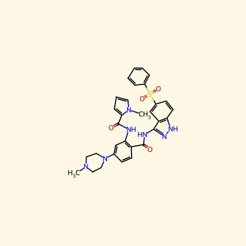 CN1CCN(c2ccc(C(=O)Nc3n[nH]c4ccc(S(=O)(=O)c5ccccc5)cc34)c(NC(=O)c3cccn3C)c2)CC1